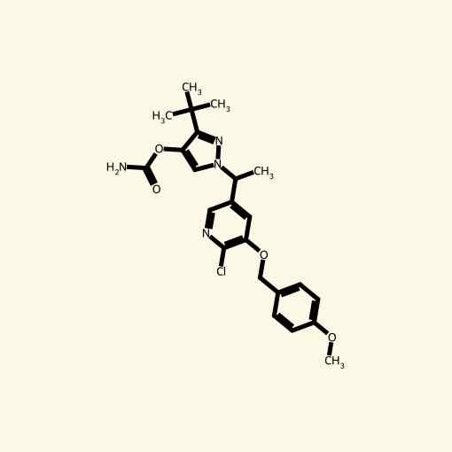 COc1ccc(COc2cc(C(C)n3cc(OC(N)=O)c(C(C)(C)C)n3)cnc2Cl)cc1